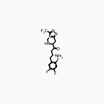 N[C@@H](CC(=O)C1Cc2nnc(C(F)(F)F)n2CN1)Cc1cc(F)c(F)cc1F